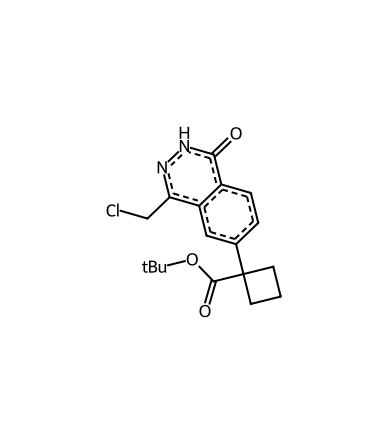 CC(C)(C)OC(=O)C1(c2ccc3c(=O)[nH]nc(CCl)c3c2)CCC1